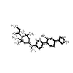 C=CC(=O)N1C(C)(C)CC(N(C)c2ccc(-c3ccc(-c4cn[nH]c4)cc3O)nn2)CC1(C)C